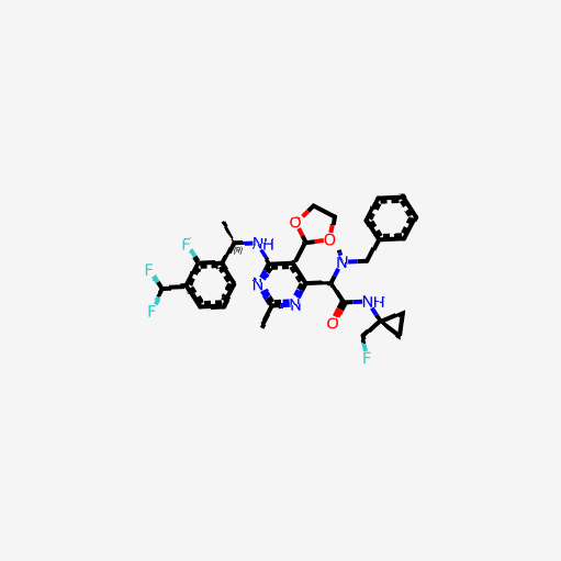 Cc1nc(N[C@H](C)c2cccc(C(F)F)c2F)c(C2OCCO2)c(C(C(=O)NC2(CF)CC2)N(C)Cc2ccccc2)n1